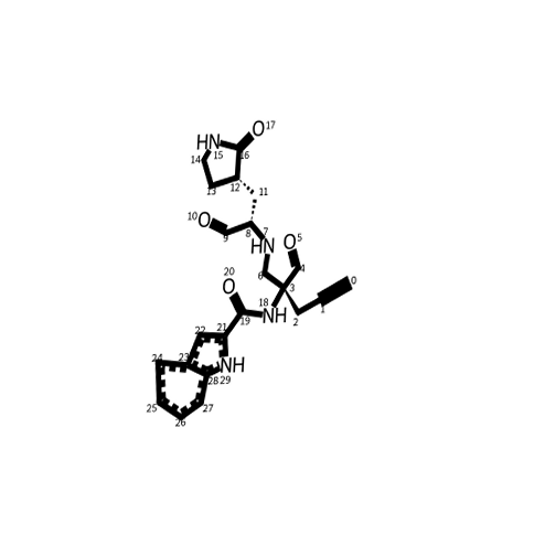 C#CC[C@](C=O)(CN[C@H](C=O)C[C@@H]1CCNC1=O)NC(=O)c1cc2ccccc2[nH]1